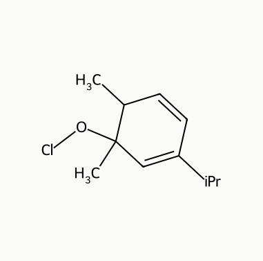 CC(C)C1=CC(C)(OCl)C(C)C=C1